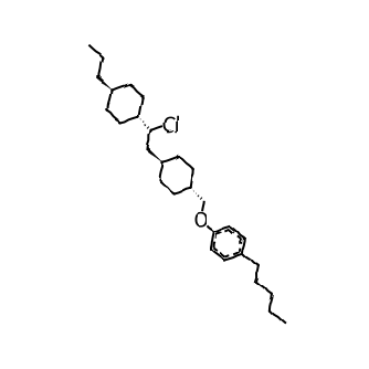 CCCCCc1ccc(OC[C@H]2CC[C@H](CC(Cl)[C@H]3CC[C@H](CCC)CC3)CC2)cc1